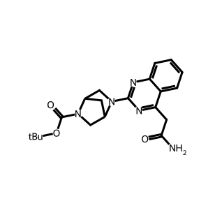 CC(C)(C)OC(=O)N1CC2CC1CN2c1nc(CC(N)=O)c2ccccc2n1